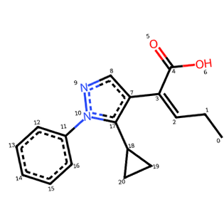 CCC=C(C(=O)O)c1cnn(-c2ccccc2)c1C1CC1